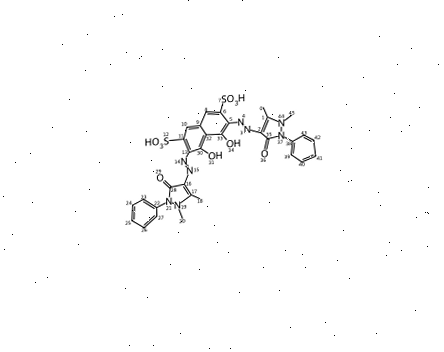 Cc1c(N=Nc2c(S(=O)(=O)O)cc3cc(S(=O)(=O)O)c(N=Nc4c(C)n(C)n(-c5ccccc5)c4=O)c(O)c3c2O)c(=O)n(-c2ccccc2)n1C